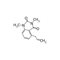 C=CCc1cccc2c1c(=O)n(C)c(=O)n2C